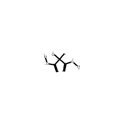 C=C(OCC)C(C)(Cl)C(=C)OCC